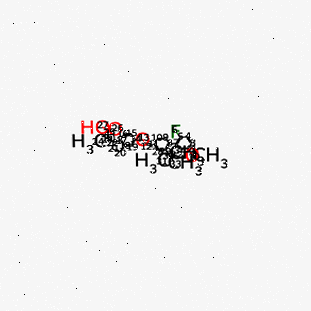 COc1ccc(F)c(-c2ccc(COc3ccc4c(c3)CCC4[C@H](C)C(=O)O)cc2C(C)(C)C)c1